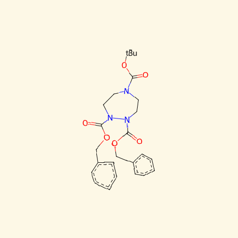 CC(C)(C)OC(=O)N1CCN(C(=O)OCc2ccccc2)N(C(=O)OCc2ccccc2)CC1